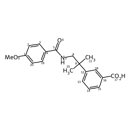 COc1ccc(C(=O)NCC(C)(C)c2cccc(C(=O)O)c2)cc1